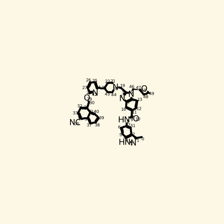 Cc1n[nH]c2ccc(NC(=O)c3ccc4c(c3)nc(CN3CCC(c5cccc(OCc6ccc(C#N)c7ccccc67)n5)CC3)n4C[C@@H]3CCO3)cc12